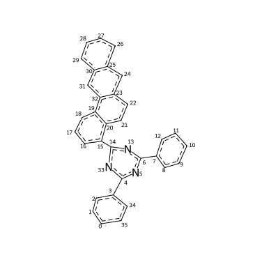 c1ccc(-c2nc(-c3ccccc3)nc(-c3cccc4c3ccc3cc5ccccc5cc34)n2)cc1